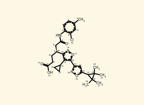 Cc1ccc(NC(=O)C[C@H](CCC(=O)O)c2noc(-c3cc(C4C(C)(C)C4(C)C)on3)c2C2CC2)c(Cl)c1